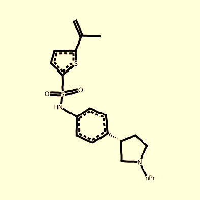 C=C(C)c1ccc(S(=O)(=O)Nc2ccc([C@@H]3CCN(CCC)C3)cc2)s1